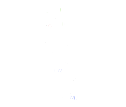 FC(F)(F)Oc1ccc(CNC2CCNCC2)cc1